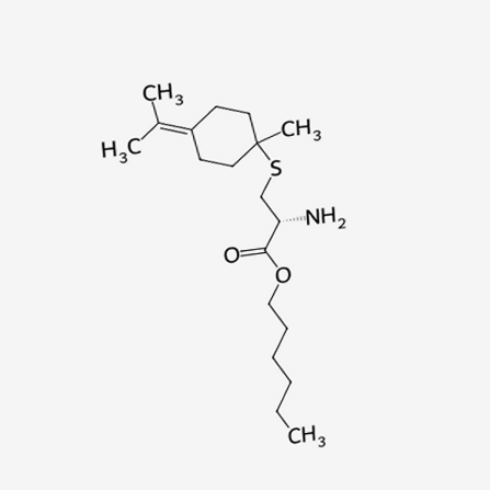 CCCCCCOC(=O)[C@@H](N)CSC1(C)CCC(=C(C)C)CC1